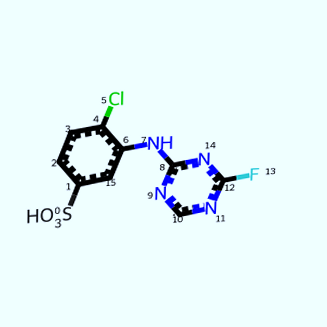 O=S(=O)(O)c1ccc(Cl)c(Nc2n[c]nc(F)n2)c1